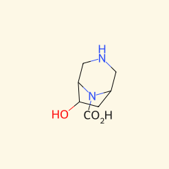 O=C(O)N1C2CNCC1C(O)C2